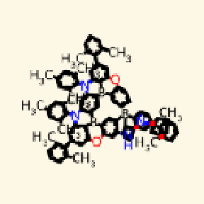 Cc1cc(C)c(N2c3cc4c(cc3B3c5ccccc5Oc5cc(-c6c(C)cccc6C)cc2c53)B2c3cc5c(cc3Oc3cc(-c6c(C)cccc6C)cc(c32)N4c2c(C)cc(C)cc2C)Nc2cc(-c3c(C)cccc3C)cc3c2B5c2ccccc2N3c2ccccc2)c(C)c1